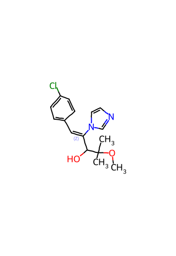 COC(C)(C)C(O)/C(=C/c1ccc(Cl)cc1)n1ccnc1